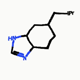 CC(C)CC1CCC2N=CNC2C1